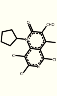 Cc1c(C=O)c(=O)n(C2CCCC2)c2c(Cl)c(Cl)nc(Cl)c12